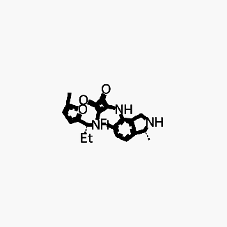 CC[C@@H](Nc1c(Nc2c(F)ccc3c2CN[C@@H]3C)c(=O)c1=O)c1ccc(C)o1